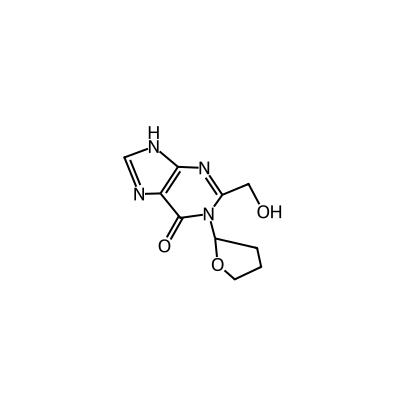 O=c1c2nc[nH]c2nc(CO)n1C1CCCO1